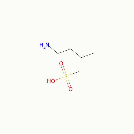 CCCCN.CS(=O)(=O)O